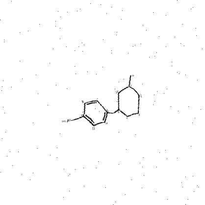 CC1C[CH]CC(c2ccc(F)cc2)C1